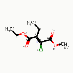 CCOC(=O)/C(CC)=C(\Cl)C(=O)OC